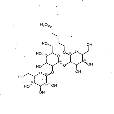 C=CCCCCO[C@H]1OC(CO)[C@@H](O)C(O)C1O[C@H]1OC(CO)[C@@H](O)C(O)C1O[C@@H]1OC(CO)[C@@H](O)C(O)[C@H]1O